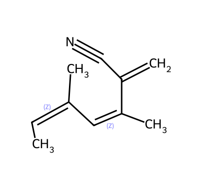 C=C(C#N)/C(C)=C\C(C)=C/C